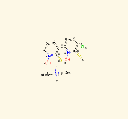 CCCCCCCCCC[N+](C)(C)CCCCCCCCCC.On1ccccc1=S.On1ccccc1=S.[Cl-]